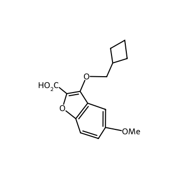 COc1ccc2oc(C(=O)O)c(OCC3CCC3)c2c1